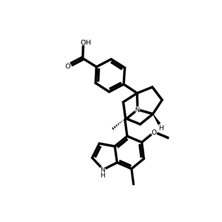 COc1cc(C)c2[nH]ccc2c1CN1[C@@H]2CCC1(c1ccc(C(=O)O)cc1)C[C@@H](C)C2